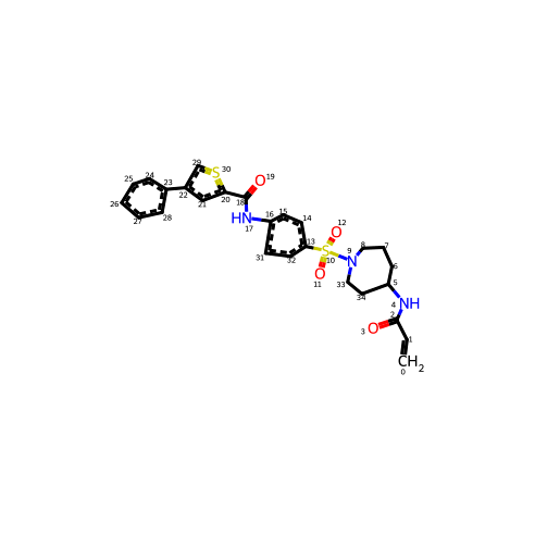 C=CC(=O)NC1CCCN(S(=O)(=O)c2ccc(NC(=O)c3cc(-c4ccccc4)cs3)cc2)CC1